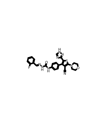 N#Cc1c(N2CCOCC2)sc(-c2nc[nH]n2)c1-c1ccc(NC(=O)N/N=C/c2ccccc2F)cc1